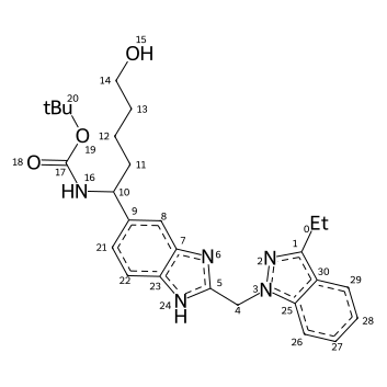 CCc1nn(Cc2nc3cc(C(CCCCO)NC(=O)OC(C)(C)C)ccc3[nH]2)c2ccccc12